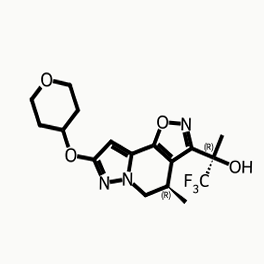 C[C@H]1Cn2nc(OC3CCOCC3)cc2-c2onc([C@@](C)(O)C(F)(F)F)c21